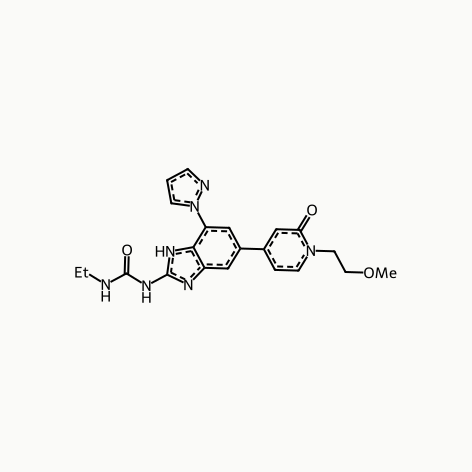 CCNC(=O)Nc1nc2cc(-c3ccn(CCOC)c(=O)c3)cc(-n3cccn3)c2[nH]1